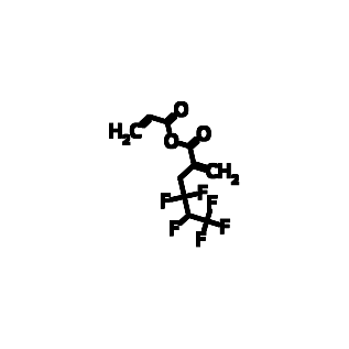 C=CC(=O)OC(=O)C(=C)CC(F)(F)C(F)C(F)(F)F